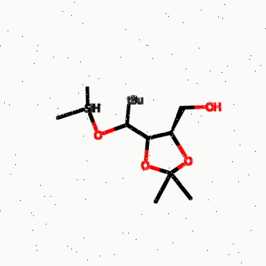 C[SiH](C)OC(C1OC(C)(C)O[C@@H]1CO)C(C)(C)C